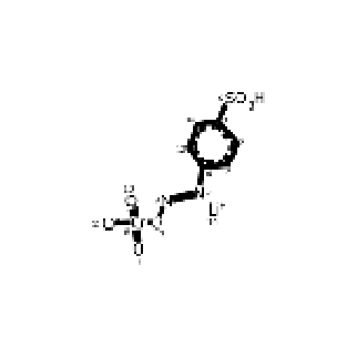 O=S(=O)(O)c1ccc(N=N[O][Cr](=[O])(=[O])[O-])cc1.[Li+]